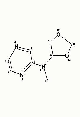 CN(c1cnccn1)C1COCO1